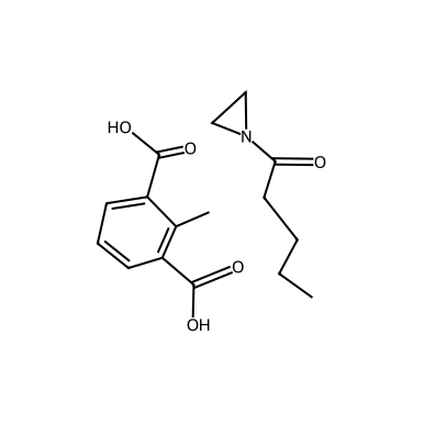 CCCCC(=O)N1CC1.Cc1c(C(=O)O)cccc1C(=O)O